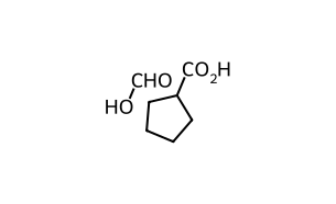 O=C(O)C1CCCC1.O=CO